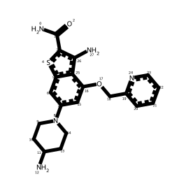 NC(=O)c1sc2cc(N3CCC(N)CC3)cc(OCc3ccccn3)c2c1N